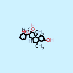 CCC12CC(C)(O)C(O)(c3ccccc3)C[C@H]1CC(C)c1cc(O)ccc12